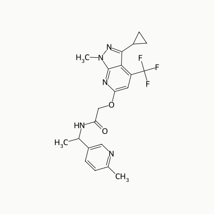 Cc1ccc(C(C)NC(=O)COc2cc(C(F)(F)F)c3c(C4CC4)nn(C)c3n2)cn1